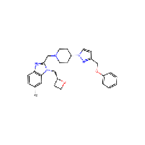 CC(=O)c1ccc2nc(CN3CCC(n4ccc(COc5ccccc5)n4)CC3)n(C[C@@H]3CCO3)c2c1